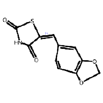 O=C1NC(=O)/C(=C\c2ccc3c(c2)OCO3)S1